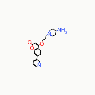 NC1CCN(CCCOc2cc(=O)oc3cc(-c4cccnc4)ccc23)CC1